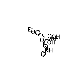 CCOc1ccc(CCC[C@@H](C(=O)N2CCN(Nc3ccccc3)CC2)[C@H](O)C(=O)NO)cc1